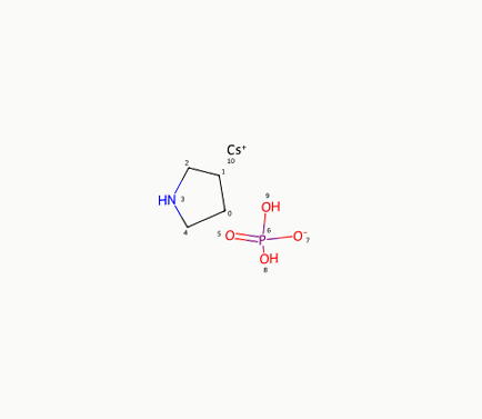 C1CCNC1.O=P([O-])(O)O.[Cs+]